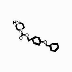 O=C(OCc1ccc(OCc2ccccc2)cc1)N1CCNCC1